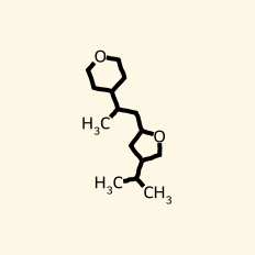 CC(C)C1COC(CC(C)C2CCOCC2)C1